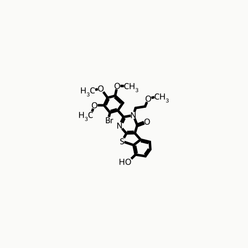 COCCn1c(-c2cc(OC)c(OC)c(OC)c2Br)nc2sc3c(O)cccc3c2c1=O